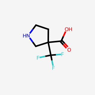 O=C(O)C1(C(F)(F)F)CCNC1